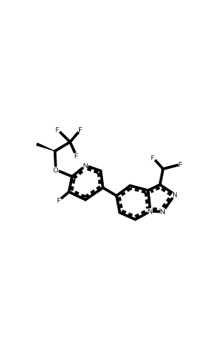 C[C@H](Oc1ncc(-c2ccn3nnc(C(F)F)c3c2)cc1F)C(F)(F)F